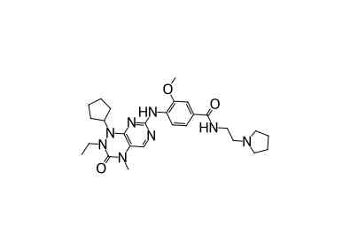 CCN1C(=O)N(C)c2cnc(Nc3ccc(C(=O)NCCN4CCCC4)cc3OC)nc2N1C1CCCC1